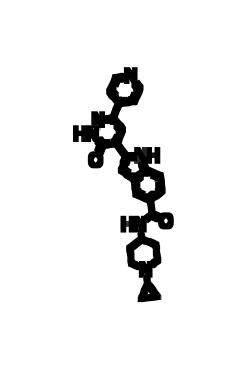 O=C(NC1CCN(C2CC2)CC1)c1ccc2[nH]c(-c3cc(-c4ccncc4)n[nH]c3=O)cc2c1